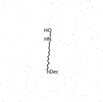 CCCCCCCCCCCCCCCCCCCCCCCCNCCCO